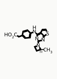 C[C@H]1CCN1c1nc(Nc2ccc(CC(=O)O)cc2)c2ccsc2n1